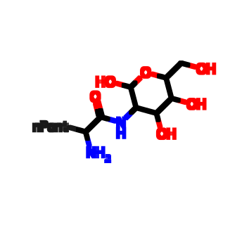 CCCCCC(N)C(=O)NC1C(O)OC(CO)C(O)C1O